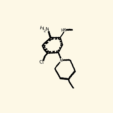 CNc1cc(N2CCC(C)CC2)c(Cl)cc1N